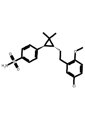 COc1ccc(Cl)cc1CC[C@@H]1[C@@H](c2ccc(S(N)(=O)=O)cc2)C1(C)C